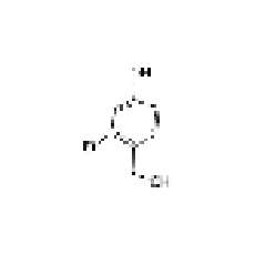 CCc1cc(O)ccc1CO